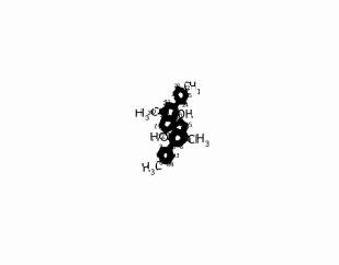 Cc1ccc(-c2cc(C)c3c(c2O)C2(CC3)CCc3c(C)cc(-c4ccc(C)cc4)c(O)c32)cc1